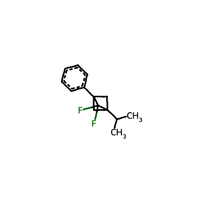 CC(C)C12CC(c3ccccc3)(C1)C2(F)F